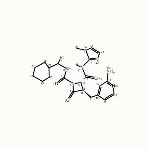 CCC(NC(=O)N1C(=O)[C@H](Cc2ccnc(N)c2)[C@H]1C(=O)N(C)c1nccn1C)C1CCCCC1